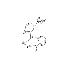 CC(=O)N(c1cc(NO)ccn1)c1ccccc1C(F)F